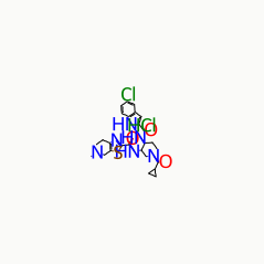 CN1CCc2nc(C(=O)NC3CN(C(=O)C4CC4)CCC3NC(=O)c3cc4cc(Cl)ccc4[nH]3)sc2C1.Cl